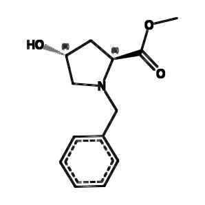 COC(=O)[C@@H]1C[C@@H](O)CN1Cc1ccccc1